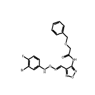 O=C(COCc1ccccc1)Nc1nonc1/C=N/ONc1ccc(F)c(Br)c1